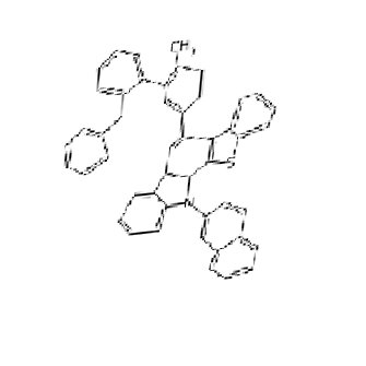 Cc1ccc(C2=CC3c4ccccc4N(c4ccc5ccccc5c4)C3c3sc4ccccc4c32)cc1-c1ccccc1Cc1ccccc1